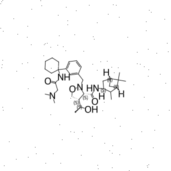 CC1[C@@H](NC(=O)[C@@H]2[C@H]([C@H](C)O)CON2Cc2cccc(C3(NC(=O)CN(C)C)CCCCC3)c2)C[C@H]2C[C@@H]1C2(C)C